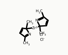 CC1=N[C](C)([Zr+2][C]2(C)C=CC(C)=N2)C=C1.[Cl-].[Cl-]